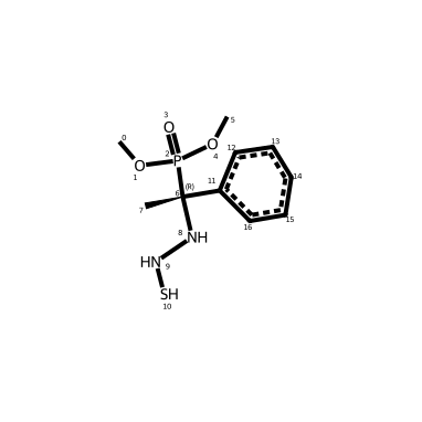 COP(=O)(OC)[C@@](C)(NNS)c1ccccc1